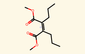 CCC/C(C(=O)OC)=C(\CCC)C(=O)OC